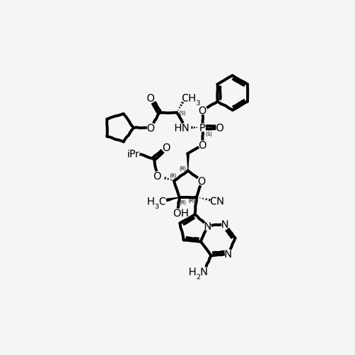 CC(C)C(=O)O[C@@H]1[C@@H](CO[P@@](=O)(N[C@@H](C)C(=O)OC2CCCC2)Oc2ccccc2)O[C@@](C#N)(c2ccc3c(N)ncnn23)[C@]1(C)O